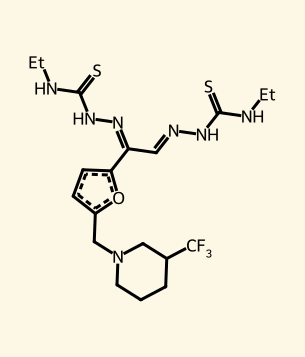 CCNC(=S)N/N=C(/C=N/NC(=S)NCC)c1ccc(CN2CCCC(C(F)(F)F)C2)o1